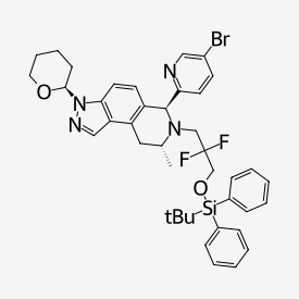 C[C@@H]1Cc2c(ccc3c2cnn3[C@@H]2CCCCO2)[C@@H](c2ccc(Br)cn2)N1CC(F)(F)CO[Si](c1ccccc1)(c1ccccc1)C(C)(C)C